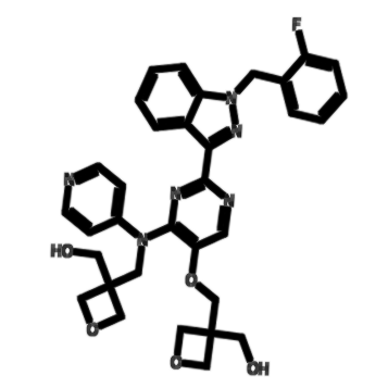 OCC1(COc2cnc(-c3nn(Cc4ccccc4F)c4ccccc34)nc2N(CC2(CO)COC2)c2ccncc2)COC1